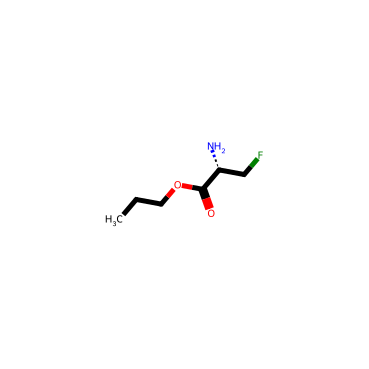 CCCOC(=O)[C@H](N)CF